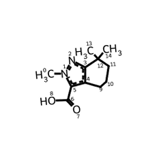 Cn1nc2c(c1C(=O)O)CCCC2(C)C